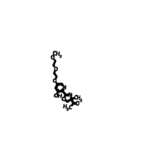 COCCOCCOc1cnc(C2=NC(C)(C(C)=O)CO2)c(O)c1